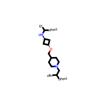 CCCCCC(CCCC)CN1CCC(CO[C@H]2C[C@H](NC(CC)CCCCC)C2)CC1